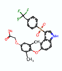 Cc1cc(OCC(=O)O)cc(C)c1Oc1ccc2[nH]cc(S(=O)(=O)c3ccc(C(F)(F)F)cc3)c2c1